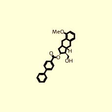 COc1cccc2c1CC1C[C@@H](OC(=O)c3ccc(-c4ccccc4)cc3)[C@H](CO)[C@H]1C2